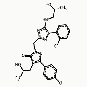 C[C@@H](O)CNc1nc(Cn2nc(-c3ccc(Cl)cc3)n(C[C@H](O)C(F)(F)F)c2=O)nn1-c1ccccc1Cl